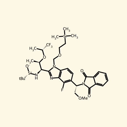 COC[C@H](c1ccc2c(nc([C@@H](N[S@@+]([O-])C(C)(C)C)[C@@H](C)O[C@H](C)C(F)(F)F)n2COCC[Si](C)(C)C)c1F)N1C(=O)c2ccccc2C1=O